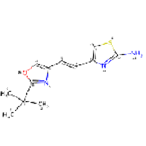 CC(C)(C)c1nc(C=Cc2csc(N)n2)co1